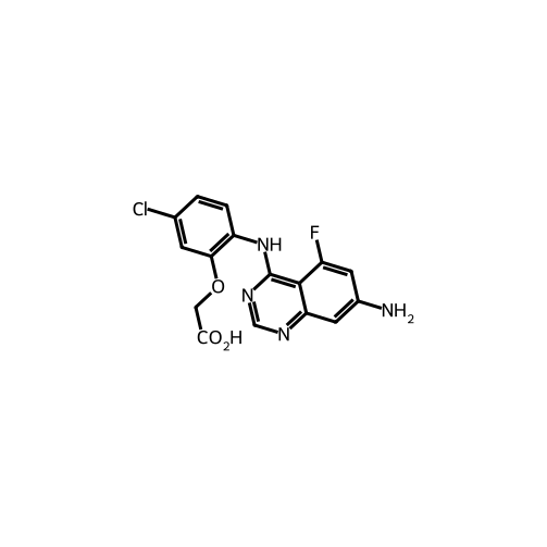 Nc1cc(F)c2c(Nc3ccc(Cl)cc3OCC(=O)O)ncnc2c1